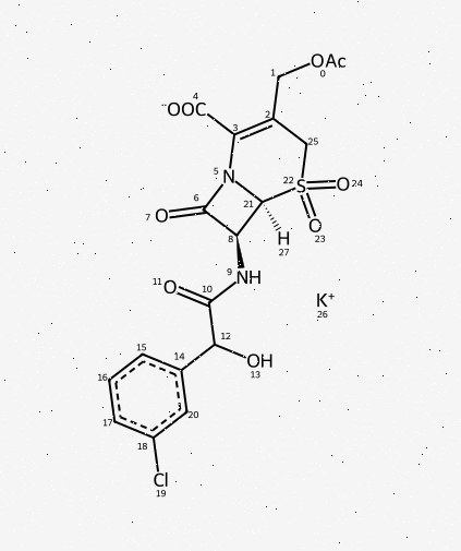 CC(=O)OCC1=C(C(=O)[O-])N2C(=O)[C@H](NC(=O)C(O)c3cccc(Cl)c3)[C@@H]2S(=O)(=O)C1.[K+]